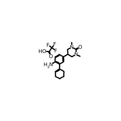 CN1CC(c2ccc(N)c(C3=CCCCC3)c2)CN(C)C1=O.O=C(O)C(F)(F)F